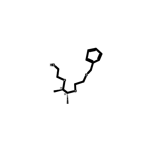 C[C@@H](OCCO)[C@@H](C)OCCOCc1ccccc1